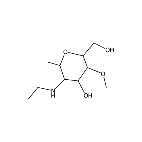 CCNC1C(C)OC(CO)C(OC)C1O